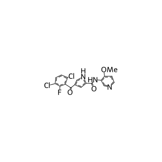 COc1ccncc1NC(=O)c1cc(C(=O)c2c(Cl)ccc(Cl)c2F)c[nH]1